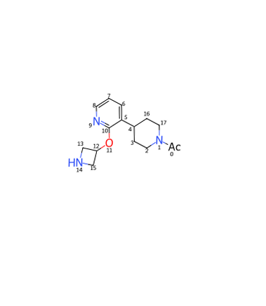 CC(=O)N1CCC(c2cccnc2OC2CNC2)CC1